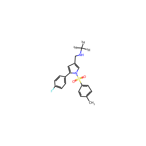 [2H]C([2H])([2H])NCc1cc(-c2ccc(F)cc2)n(S(=O)(=O)c2ccc(C)cc2)c1